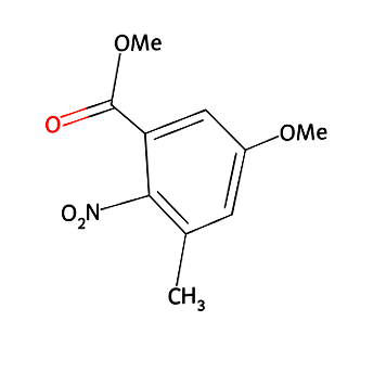 COC(=O)c1cc(OC)cc(C)c1[N+](=O)[O-]